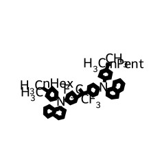 CCCCCCC(C)(C)c1ccc(N(c2ccc(C(c3ccc(N(c4ccc(C(C)(C)CCCCC)cc4)c4cccc5ccccc45)cc3)(C(F)(F)F)C(F)(F)F)cc2)c2cccc3ccccc23)cc1